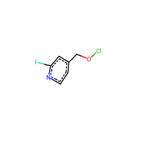 Fc1cc(COCl)ccn1